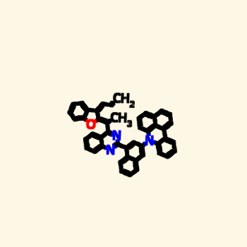 C=C/C=c1\c(=C(/C)c2nc(-c3cc(N4c5ccccc5-c5cccc6cccc4c56)cc4ccccc34)nc3ccccc23)oc2ccccc12